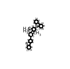 CC1=CC(c2ccc3c(c2)sc2ccccc23)=CCC1(C)c1ccc(-n2c3ccccc3c3ccccc32)cc1C